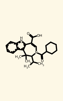 CC(C)C1N(C(=O)C2CCCCC2)C=C(C(=O)O)c2[nH]c3ccccc3c2C1(C)C